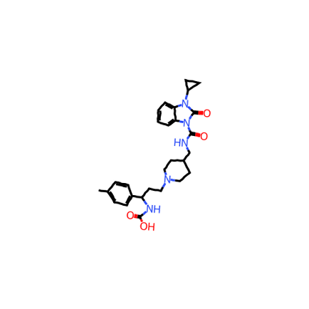 Cc1ccc(C(CCN2CCC(CNC(=O)n3c(=O)n(C4CC4)c4ccccc43)CC2)NC(=O)O)cc1